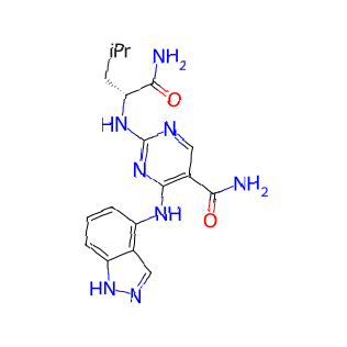 CC(C)C[C@@H](Nc1ncc(C(N)=O)c(Nc2cccc3[nH]ncc23)n1)C(N)=O